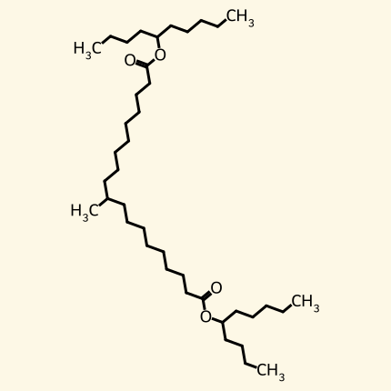 CCCCCC(CCCC)OC(=O)CCCCCCCCC(C)CCCCCCCCC(=O)OC(CCCC)CCCCC